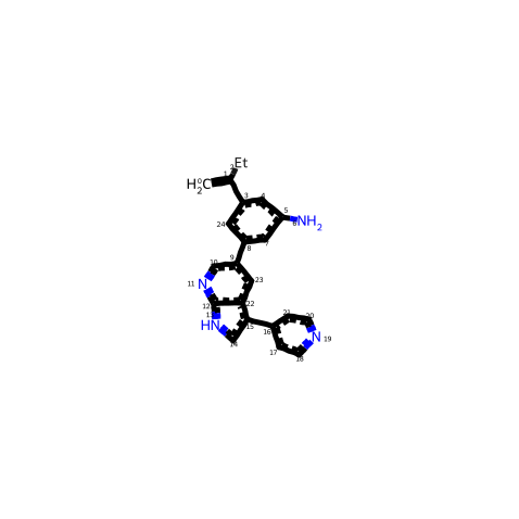 C=C(CC)c1cc(N)cc(-c2cnc3[nH]cc(-c4ccncc4)c3c2)c1